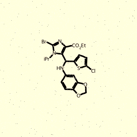 CCOC(=O)c1nc(Br)n(C(C)C)c1C(Nc1ccc2c(c1)OCO2)c1ccc(Cl)s1